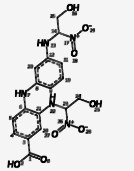 O=C(O)c1ccc(Nc2cccc(NC(CO)[N+](=O)[O-])c2)c(NC(CO)[N+](=O)[O-])c1